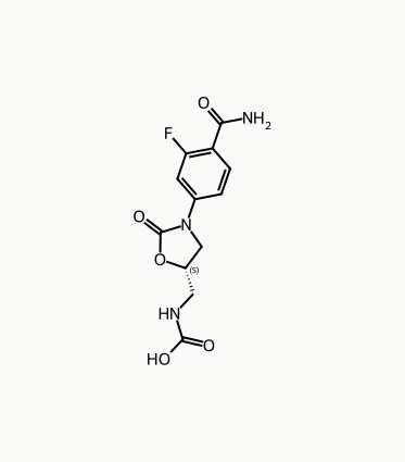 NC(=O)c1ccc(N2C[C@H](CNC(=O)O)OC2=O)cc1F